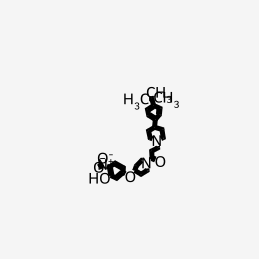 CC(C)(C)c1ccc(C2CCN(CCC(=O)N3CCC(Oc4ccc([N+](=O)[O-])c(O)c4)CC3)CC2)cc1